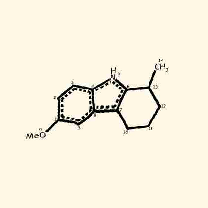 COc1ccc2[nH]c3c(c2c1)CCCC3C